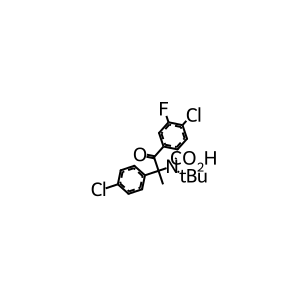 CC(C)(C)N(C(=O)O)C(C)(C(=O)c1ccc(Cl)c(F)c1)c1ccc(Cl)cc1